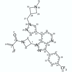 C=C(F)C(=O)N1CC(n2nc(-c3ccc(C(F)(F)F)cc3)c3nccc(-c4cnn(CC5CN(C)C5)c4)c32)C1